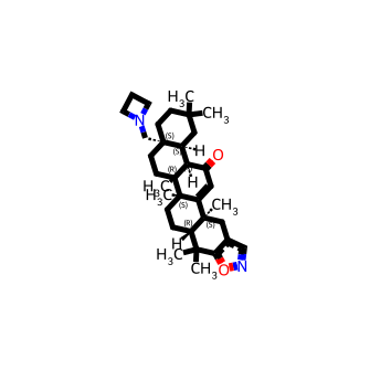 CC1(C)CC[C@]2(CN3CCC3)CC[C@]3(C)[C@H](C(=O)C=C4[C@@]5(C)Cc6cnoc6C(C)(C)[C@@H]5CC[C@]43C)[C@@H]2C1